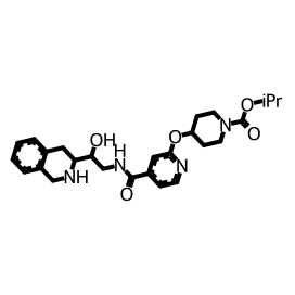 CC(C)OC(=O)N1CCC(Oc2cc(C(=O)NCC(O)C3Cc4ccccc4CN3)ccn2)CC1